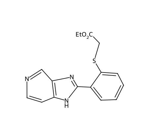 CCOC(=O)CSc1ccccc1-c1nc2cnccc2[nH]1